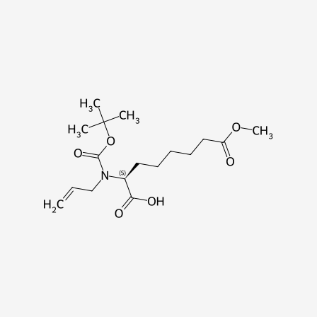 C=CCN(C(=O)OC(C)(C)C)[C@@H](CCCCCC(=O)OC)C(=O)O